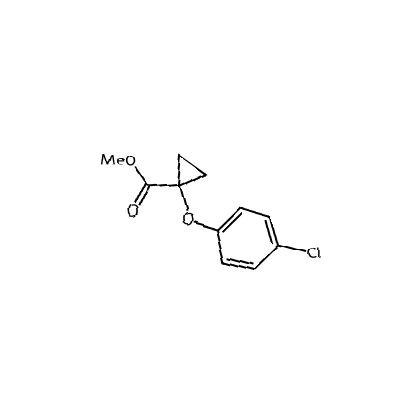 COC(=O)C1(Oc2ccc(Cl)cc2)CC1